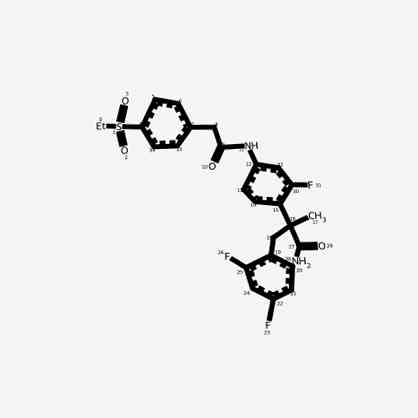 CCS(=O)(=O)c1ccc(CC(=O)Nc2ccc(C(C)(Cc3ccc(F)cc3F)C(N)=O)c(F)c2)cc1